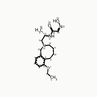 CCOc1cccc2c1CCCCN(C[C@H](C)NC(=O)/C=N\O)C2